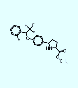 COC(=O)C1CCC(c2ccc(OC(c3ccccc3F)C(F)(F)F)cc2)N1